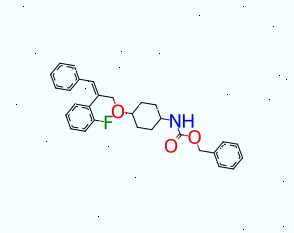 O=C(NC1CCC(OCC(=Cc2ccccc2)c2ccccc2F)CC1)OCc1ccccc1